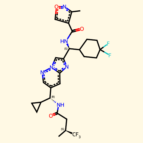 Cc1nocc1C(=O)N[C@H](c1cn2ncc([C@H](NC(=O)C[C@H](C)C(F)(F)F)C3CC3)cc2n1)C1CCC(F)(F)CC1